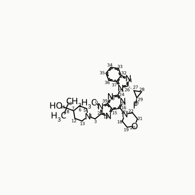 Cn1c(CN2CCC(C(C)(C)O)CC2)nc2c(N3CCOCC3)nc(-n3c([C@@H]4C[C@H]4F)nc4ccccc43)nc21